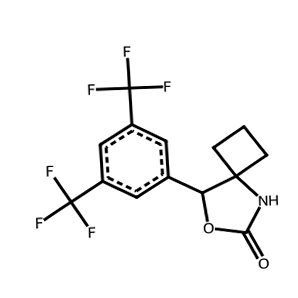 O=C1NC2(CCC2)C(c2cc(C(F)(F)F)cc(C(F)(F)F)c2)O1